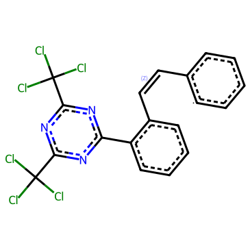 ClC(Cl)(Cl)c1nc(-c2ccccc2/C=C\c2[c]cccc2)nc(C(Cl)(Cl)Cl)n1